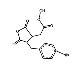 CCC(C)c1ccc(CC2C(=O)OC(=O)C2CC(=O)OO)cc1